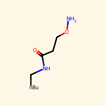 CCCCCNC(=O)CCON